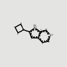 c1cc2cc(C3CCC3)[nH]c2cn1